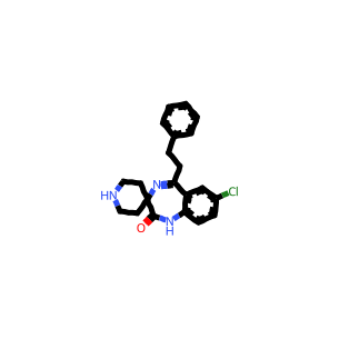 O=C1Nc2ccc(Cl)cc2C(CCc2ccccc2)=NC12CCNCC2